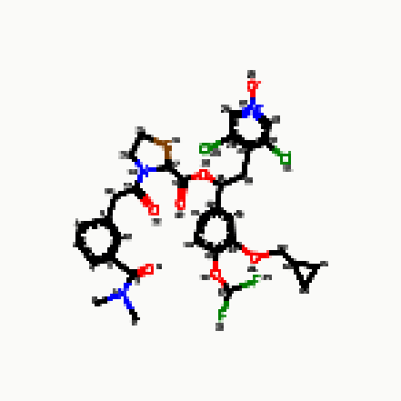 CN(C)C(=O)c1cccc(CC(=O)N2CCSC2C(=O)OC(Cc2c(Cl)c[n+]([O-])cc2Cl)c2ccc(OC(F)F)c(OCC3CC3)c2)c1